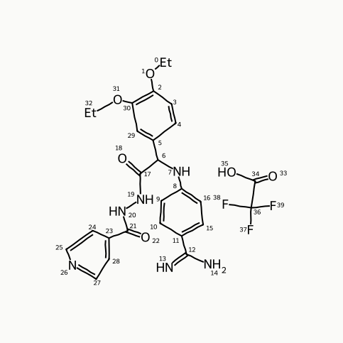 CCOc1ccc(C(Nc2ccc(C(=N)N)cc2)C(=O)NNC(=O)c2ccncc2)cc1OCC.O=C(O)C(F)(F)F